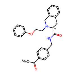 COC(=O)c1ccc(CNC(=O)[C@H]2Cc3ccccc3CN2CCOc2ccccc2)cc1